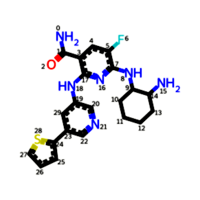 NC(=O)c1cc(F)c(NC2CCCCC2N)nc1Nc1cncc(-c2cccs2)c1